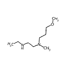 CCNCCN(C)CCCOC